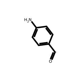 Nc1ccc([C]=O)cc1